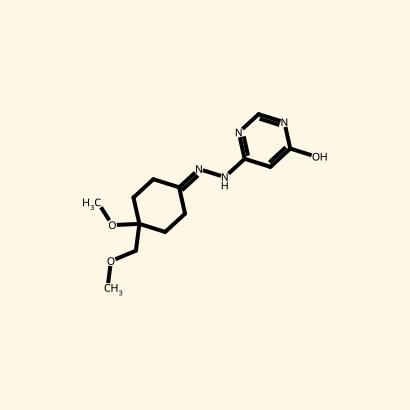 COCC1(OC)CCC(=NNc2cc(O)ncn2)CC1